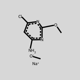 COc1nc(N)cc(Cl)n1.C[O-].[Na+]